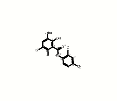 Cc1c(Br)cc(C(C)(C)C)c(O)c1C(=O)Nc1ccc(C#N)cc1Cl